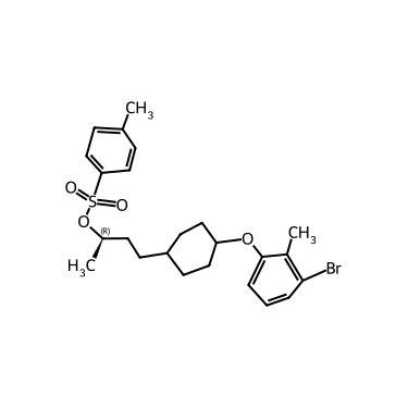 Cc1ccc(S(=O)(=O)O[C@H](C)CCC2CCC(Oc3cccc(Br)c3C)CC2)cc1